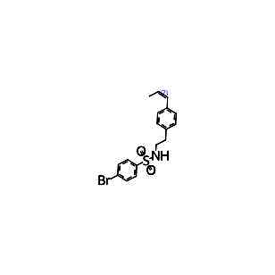 C/C=C\c1ccc(CCNS(=O)(=O)c2ccc(Br)cc2)cc1